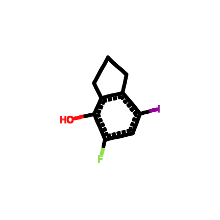 Oc1c(F)cc(I)c2c1CCC2